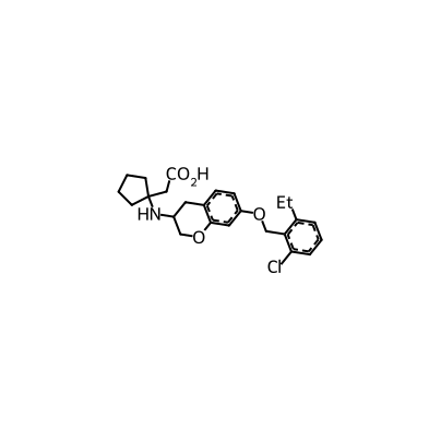 CCc1cccc(Cl)c1COc1ccc2c(c1)OCC(NC1(CC(=O)O)CCCC1)C2